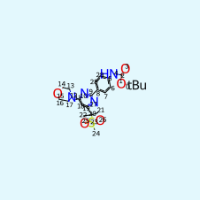 CC(C)(C)OC(=O)Nc1ccc(-c2nc(N3CCOCC3)cc(C(C)(C)S(C)(=O)=O)n2)cc1